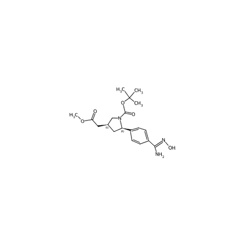 COC(=O)C[C@@H]1C[C@H](c2ccc(C(N)=NO)cc2)N(C(=O)OC(C)(C)C)C1